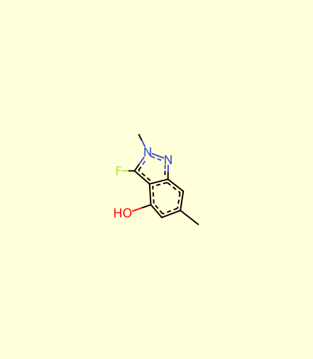 Cc1cc(O)c2c(F)n(C)nc2c1